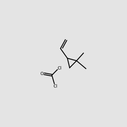 C=CC1CC1(C)C.O=C(Cl)Cl